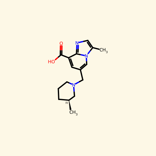 Cc1cnc2c(C(=O)O)cc(CN3CCC[C@H](C)C3)cn12